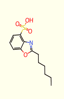 CCCCCCc1nc2c(S(=O)(=O)O)cccc2o1